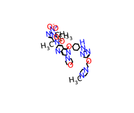 CC(c1cnc([N+](=O)[O-])n1C)N(c1cnc2cc(N3CCOCC3)nc(O[C@H]3CC[C@@H](Nc4ncc(OCCN5CCN(C)CC5)cn4)CC3)c2c1)S(C)(=O)=O